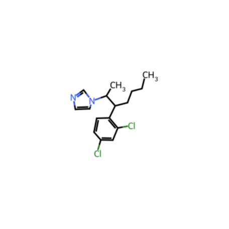 CCCCC(c1ccc(Cl)cc1Cl)C(C)n1ccnc1